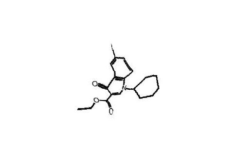 CCOC(=O)c1cn(C2CCCCC2)c2ccc(I)cc2c1=O